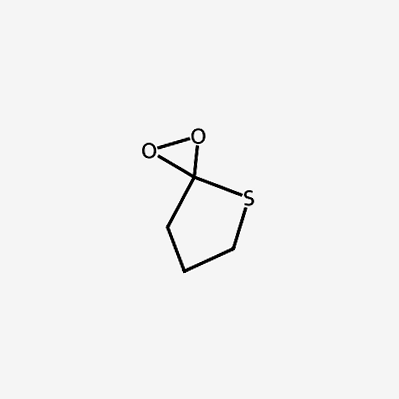 C1CSC2(C1)OO2